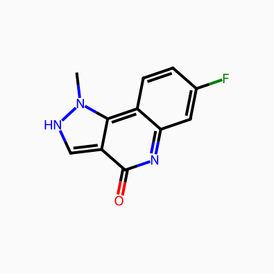 Cn1[nH]cc2c(=O)nc3cc(F)ccc3c1-2